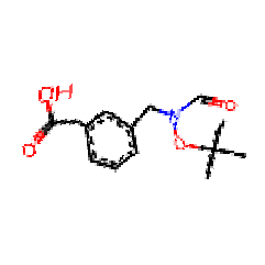 CC(C)(C)ON(C=O)Cc1cccc(C(=O)O)c1